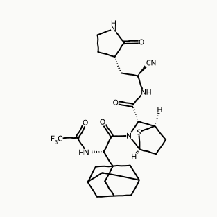 N#C[C@H](C[C@@H]1CCNC1=O)NC(=O)[C@@H]1[C@H]2CC[C@H](S2)N1C(=O)[C@@H](NC(=O)C(F)(F)F)C12CC3CC(CC(C3)C1)C2